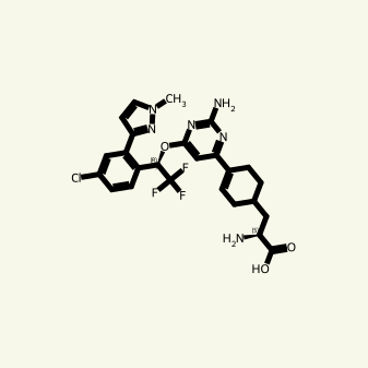 Cn1ccc(-c2cc(Cl)ccc2[C@@H](Oc2cc(C3=CCC(C[C@H](N)C(=O)O)CC3)nc(N)n2)C(F)(F)F)n1